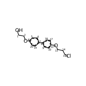 OCCOc1ccc(-c2ccc(OCCCCl)cc2)cc1